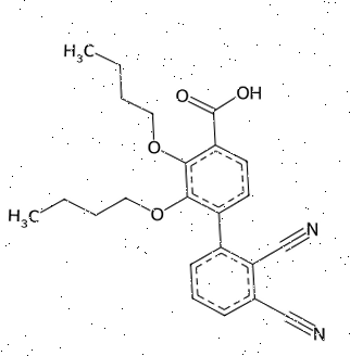 CCCCOc1c(C(=O)O)ccc(-c2cccc(C#N)c2C#N)c1OCCCC